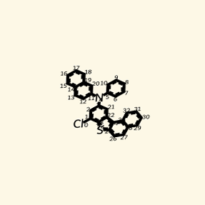 Clc1cc(N(c2ccccc2)c2ccc3ccccc3c2)cc2c1sc1ccc3ccccc3c12